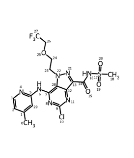 Cc1ccnc(Nc2nc(Cl)nc3c(C(=O)NS(C)(=O)=O)nn(CCOCC(F)(F)F)c23)c1